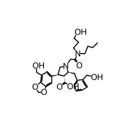 CCCCN(CCCO)C(=O)CN1C[C@H](c2cc(CO)c3c(c2)OCO3)[C@@H](C(=O)O)[C@@H]1Cc1ccccc1CO